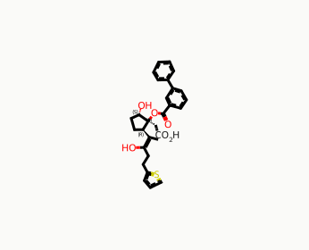 CC(=C(O)CCc1cccs1)[C@H]1CC[C@H](O)[C@@]1(CC(=O)O)OC(=O)c1cccc(-c2ccccc2)c1